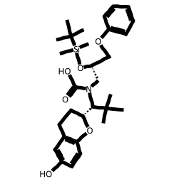 CC(C)(C)C([C@H]1CCc2cc(O)ccc2O1)N(C[C@@H](COc1ccccc1)O[Si](C)(C)C(C)(C)C)C(=O)O